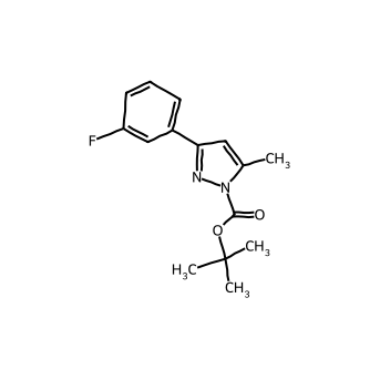 Cc1cc(-c2cccc(F)c2)nn1C(=O)OC(C)(C)C